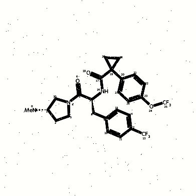 CN[C@H]1CCN(C(=O)[C@H](Cc2ccc(C(F)(F)F)cc2)NC(=O)C2(c3ccc(OC(F)(F)F)cc3)CC2)C1